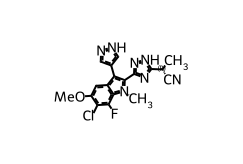 COc1cc2c(-c3cn[nH]c3)c(-c3n[nH]c([C@H](C)C#N)n3)n(C)c2c(F)c1Cl